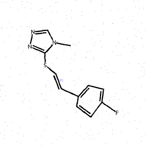 Cn1cnnc1S/C=C/c1ccc(F)cc1